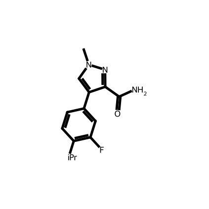 CC(C)c1ccc(-c2cn(C)nc2C(N)=O)cc1F